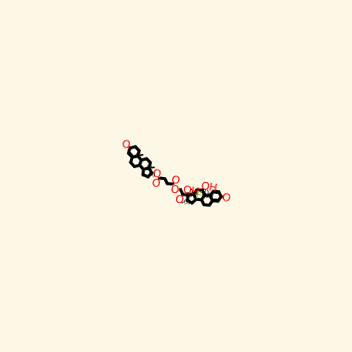 C[C@H]1CC2C3CCC4=CC(=O)C=C[C@]4(C)[C@@]3(F)[C@@H](O)C[C@]2(C)[C@@]1(O)C(=O)COC(=O)CCC(=O)O[C@H]1CCC2C3CCC4=CC(=O)CC[C@]4(C)C3CC[C@@]21C